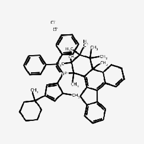 CC1C=C(C2(C)CCCCC2)C=[C]1[Zr+2](=[C](c1ccccc1)c1ccccc1)[C]1(C)C2=C3Cc4ccccc4C3=C3C=CCCC3C2(C)C(C)(C)C(C)(C)C1(C)C.[Cl-].[Cl-]